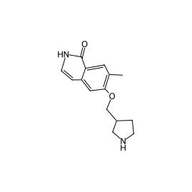 Cc1cc2c(=O)[nH]ccc2cc1OCC1CCNC1